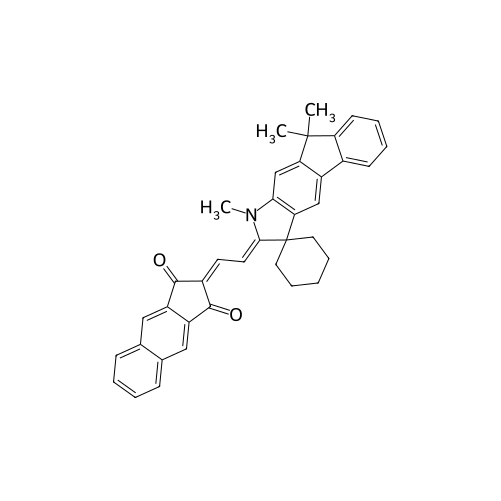 CN1/C(=C\C=C2C(=O)c3cc4ccccc4cc3C2=O)C2(CCCCC2)c2cc3c(cc21)C(C)(C)c1ccccc1-3